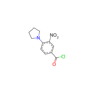 O=C(Cl)c1ccc(N2CCCC2)c([N+](=O)[O-])c1